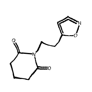 O=C1CCCC(=O)N1CCC1=C=C=NO1